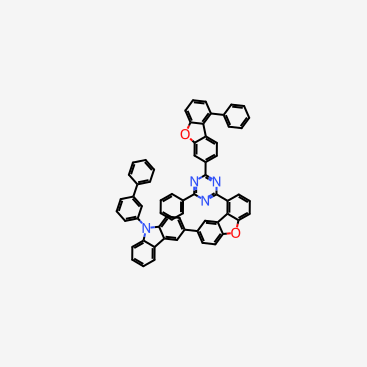 c1ccc(-c2cccc(-n3c4ccccc4c4cc(-c5ccc6oc7cccc(-c8nc(-c9ccccc9)nc(-c9ccc%10c(c9)oc9cccc(-c%11ccccc%11)c9%10)n8)c7c6c5)ccc43)c2)cc1